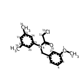 COc1cccc(CN(C(=O)CCl)c2cc(C)cc(C)c2)c1